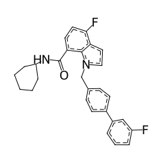 O=C(NC1CCCCC1)c1ccc(F)c2ccn(Cc3ccc(-c4cccc(F)c4)cc3)c12